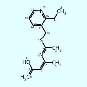 C=C(O)/C=C(C)\N=C(/C)SCc1cccnc1CC